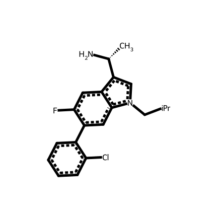 CC(C)Cn1cc([C@@H](C)N)c2cc(F)c(-c3ccccc3Cl)cc21